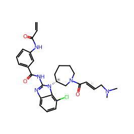 C=CC(=O)Nc1cccc(C(=O)Nc2nc3cccc(Cl)c3n2[C@@H]2CCCCN(C(=O)/C=C/CN(C)C)C2)c1